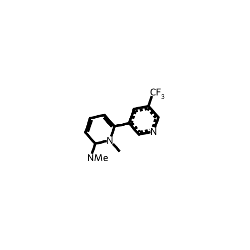 CNC1C=CC=C(c2cncc(C(F)(F)F)c2)N1C